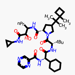 CCCC(NC(=O)[C@@H]1CC(C(C)(C)C2(C)CCC2)CN1C(=O)[C@@H](NC(=O)[C@@H](NC(=O)c1cnccn1)C1CCCCC1)C(C)(C)C)C(O)C(=O)NC1CC1